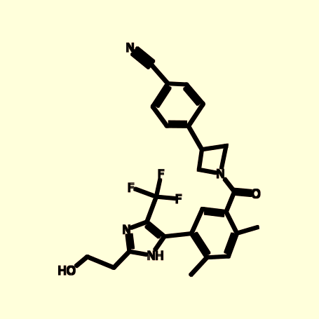 Cc1cc(C)c(-c2[nH]c(CCO)nc2C(F)(F)F)cc1C(=O)N1CC(c2ccc(C#N)cc2)C1